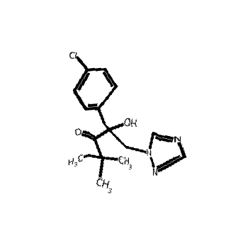 CC(C)(C)C(=O)C(O)(Cn1cncn1)c1ccc(Cl)cc1